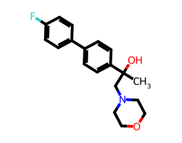 CC(O)(CN1CCOCC1)c1ccc(-c2ccc(F)cc2)cc1